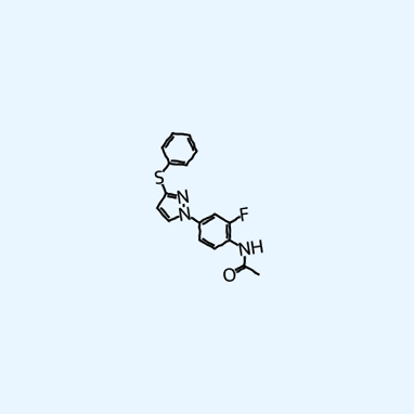 CC(=O)Nc1ccc(-n2ccc(Sc3ccccc3)n2)cc1F